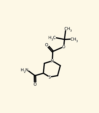 CC(C)(C)OC(=O)N1CCSC(C(N)=O)C1